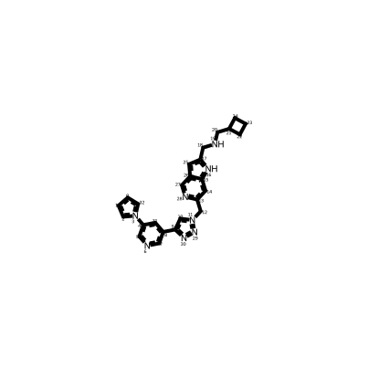 c1ccn(-c2cncc(-c3cn(Cc4cc5[nH]c(CNCC6CCC6)cc5cn4)nn3)c2)c1